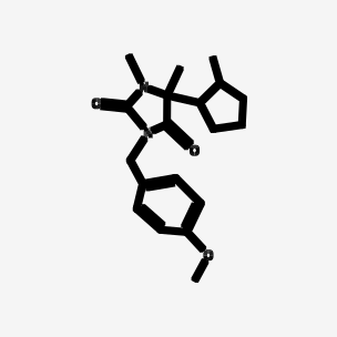 COc1ccc(CN2C(=O)N(C)C(C)(C3CCCC3C)C2=O)cc1